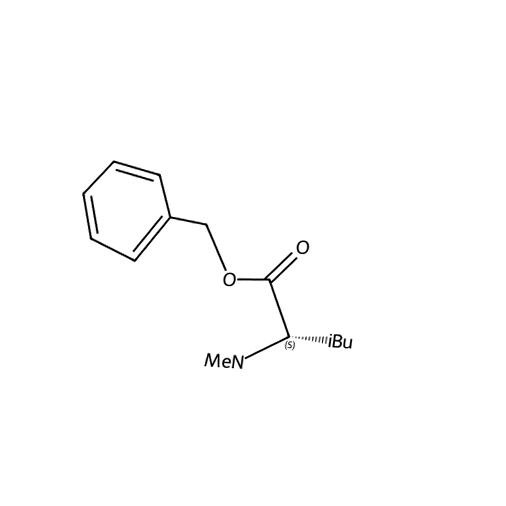 CCC(C)[C@H](NC)C(=O)OCc1ccccc1